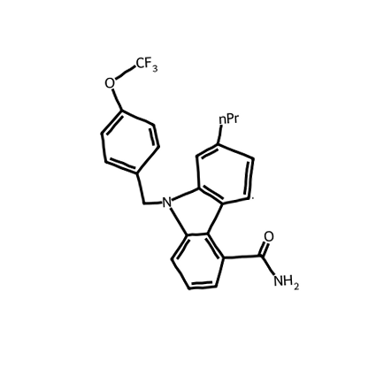 CCCc1c[c]c2c3c(C(N)=O)cccc3n(Cc3ccc(OC(F)(F)F)cc3)c2c1